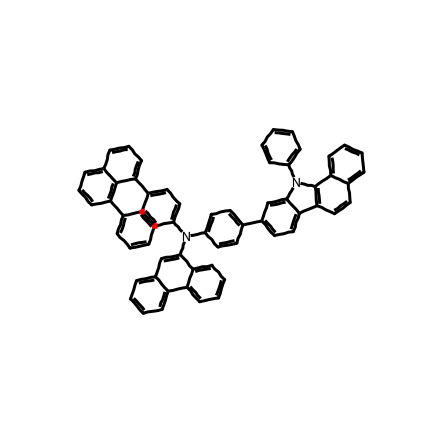 c1ccc(-c2cccc3cccc(-c4ccc(N(c5ccc(-c6ccc7c8ccc9ccccc9c8n(-c8ccccc8)c7c6)cc5)c5cc6ccccc6c6ccccc56)cc4)c23)cc1